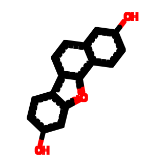 Oc1ccc2c(ccc3c4ccc(O)cc4oc23)c1